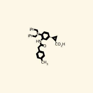 Cc1ccc(CC(=O)Nc2cc([C@@H]3C[C@@H]3C(=O)O)ccc2N(CC(C)C)CC(C)C)cc1